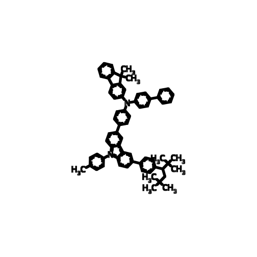 Cc1ccc(-n2c3ccc(-c4ccc(C(CC(C)(C)C)C(C)(C)C)cc4)cc3c3cc(-c4ccc(N(c5ccc(-c6ccccc6)cc5)c5ccc6c(c5)C(C)(C)c5ccccc5-6)cc4)ccc32)cc1